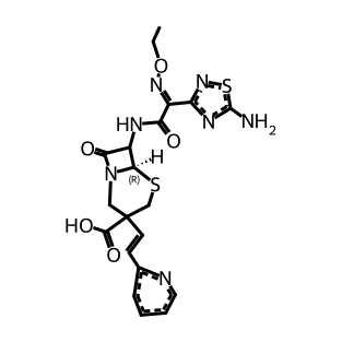 CCON=C(C(=O)NC1C(=O)N2CC(C=Cc3ccccn3)(C(=O)O)CS[C@H]12)c1nsc(N)n1